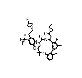 CCOC(=O)C[C@@H]1NC(=O)[C@@H](n2cc(CCN3CC(F)C3)c(C(F)(F)F)cc2=O)/C=C/C(C)(C)Oc2cccc(C)c2-c2cc(C)c(F)c1c2